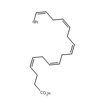 CCC/C=C\C/C=C\C/C=C\C/C=C\C/C=C\CCC(=O)O